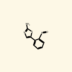 Nc1ncc(-c2ccccc2N=O)s1